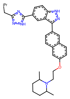 CC(C)Cc1n[nH]c(-c2ccc3[nH]nc(-c4ccc5cc(OCCN6C(C)CCCC6C)ccc5c4)c3c2)n1